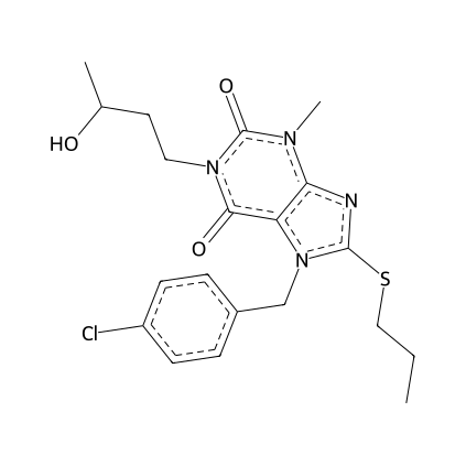 CCCSc1nc2c(c(=O)n(CCC(C)O)c(=O)n2C)n1Cc1ccc(Cl)cc1